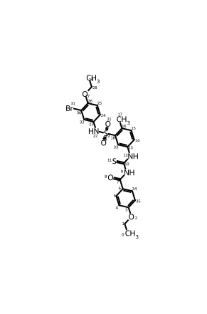 CCOc1ccc(C(=O)NC(=S)Nc2ccc(C)c(S(=O)(=O)Nc3ccc(OCC)c(Br)c3)c2)cc1